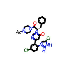 CC(=O)N1CCN(C(=O)[C@H](Cc2ccccc2)n2cnc(-c3cc(Cl)ccc3N3C=C(Cl)NN3)cc2=O)CC1